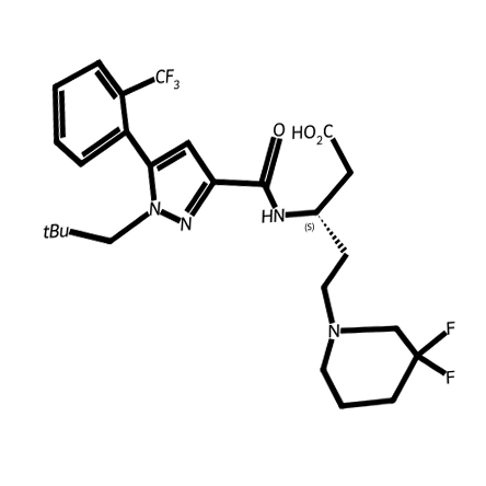 CC(C)(C)Cn1nc(C(=O)N[C@@H](CCN2CCCC(F)(F)C2)CC(=O)O)cc1-c1ccccc1C(F)(F)F